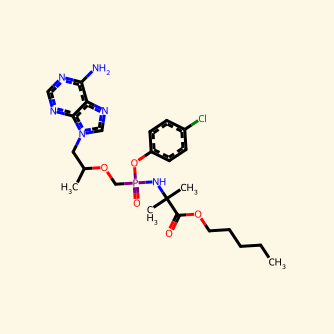 CCCCCOC(=O)C(C)(C)NP(=O)(COC(C)Cn1cnc2c(N)ncnc21)Oc1ccc(Cl)cc1